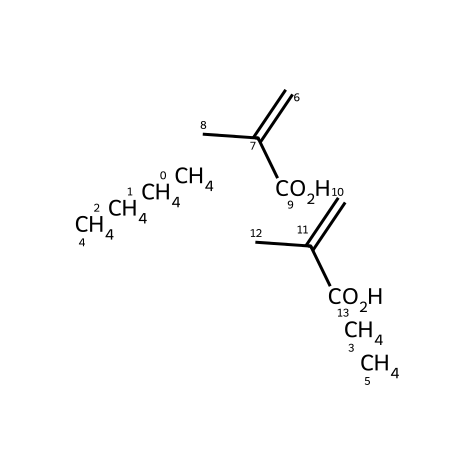 C.C.C.C.C.C.C=C(C)C(=O)O.C=C(C)C(=O)O